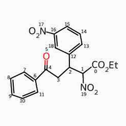 CCOC(=O)C(C(CC(=O)c1ccccc1)c1cccc([N+](=O)[O-])c1)[N+](=O)[O-]